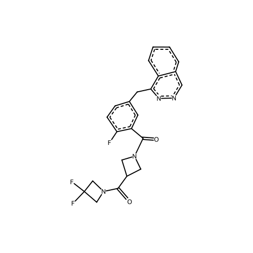 O=C(c1cc(Cc2nncc3ccccc23)ccc1F)N1CC(C(=O)N2CC(F)(F)C2)C1